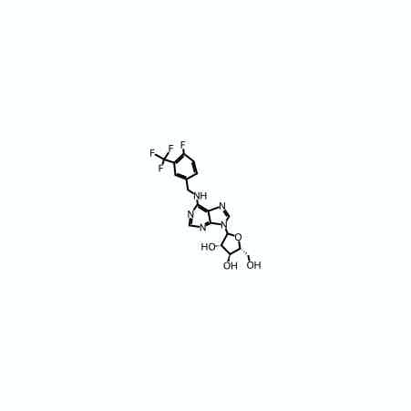 OC[C@H]1OC(n2cnc3c(NCc4ccc(F)c(C(F)(F)F)c4)ncnc32)[C@@H](O)[C@@H]1O